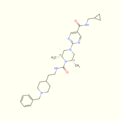 C[C@@H]1CN(c2ncc(C(=O)NCC3CC3)cn2)C[C@H](C)N1C(=O)NCCC1CCN(Cc2ccccc2)CC1